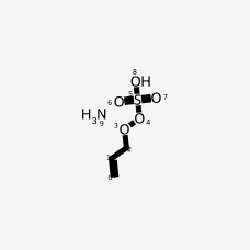 C=CCOOS(=O)(=O)O.N